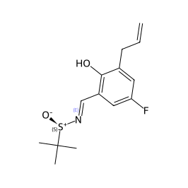 C=CCc1cc(F)cc(/C=N/[S@+]([O-])C(C)(C)C)c1O